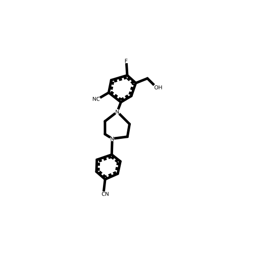 N#Cc1ccc(N2CCN(c3cc(CO)c(F)cc3C#N)CC2)cc1